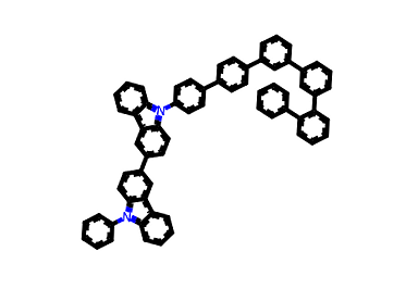 c1ccc(-c2ccccc2-c2cccc(-c3cccc(-c4ccc(-c5ccc(-n6c7ccccc7c7cc(-c8ccc9c(c8)c8ccccc8n9-c8ccccc8)ccc76)cc5)cc4)c3)c2)cc1